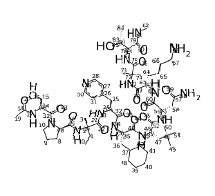 CC[C@](C)(NC(=O)[C@H]1CCCN1C(=O)[C@H](CO)NC(C)=O)C(=O)N[C@@H](Cc1ccncc1)C(=O)N[C@@H](CC1CCCCC1)C(=O)N[C@@H](CC(C)(C)C)C(=O)N[C@@H](CC(N)=O)C(=O)N[C@@H](CCCCN)C(=O)NC(C)(C)C(=O)N[C@H](C(=O)NC)[C@@H](C)O